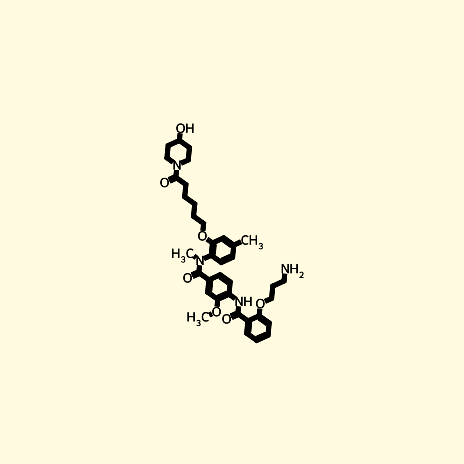 COc1cc(C(=O)N(C)c2ccc(C)cc2OCCCCCC(=O)N2CCC(O)CC2)ccc1NC(=O)c1ccccc1OCCCN